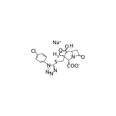 C[C@]1(CSc2nnnn2-c2ccc(Cl)cc2)[C@H](C(=O)[O-])N2C(=O)C[C@@H]2S1(=O)=O.[Na+]